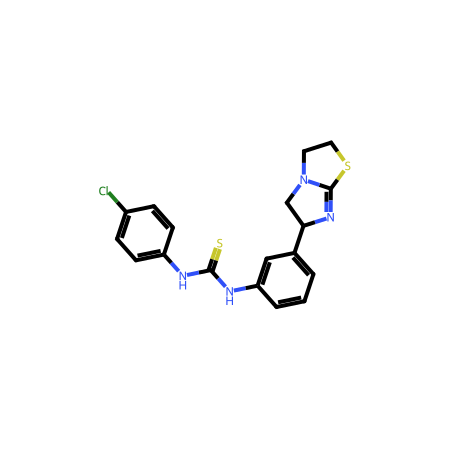 S=C(Nc1ccc(Cl)cc1)Nc1cccc(C2CN3CCSC3=N2)c1